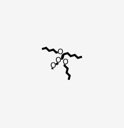 CCCCCOC(CCCCC)=C(OCCCCC)OCOC